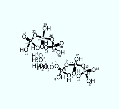 O.O.O.O.O.O=P(O)(O)OP(=O)(O)OP(=O)(O)O.O=P(O)(O)OP(=O)(O)OP(=O)(O)O